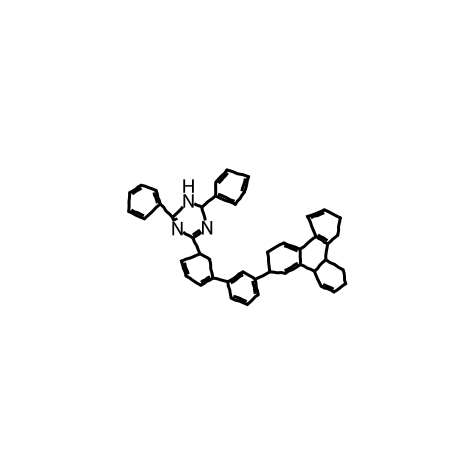 C1=CC(C2=NC(c3ccccc3)NC(c3ccccc3)=N2)CC(c2cccc(C3C=C4C(=CC3)C3=C(CCC=C3)C3CCC=CC43)c2)=C1